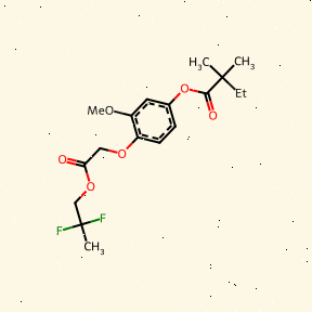 CCC(C)(C)C(=O)Oc1ccc(OCC(=O)OCC(C)(F)F)c(OC)c1